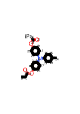 C=CC(=O)Oc1ccc(N(c2ccc(C)cc2)c2ccc(OC(=O)C(C)C)cc2)cc1